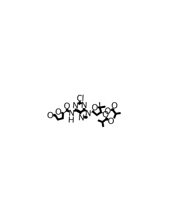 CC(C)C(=O)OC[C@@]1(C)O[C@@H](n2cnc3c(NC(=O)[C@H]4CCC(=O)O4)nc(Cl)nc32)C[C@@H]1OC(=O)C(C)C